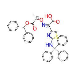 C[C@H](O/N=C(\C(=O)O)c1csc(NC(c2ccccc2)(c2ccccc2)c2ccccc2)n1)C(=O)OC(c1ccccc1)c1ccccc1